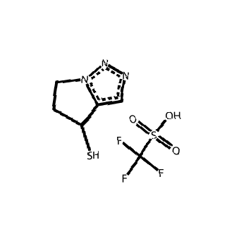 O=S(=O)(O)C(F)(F)F.SC1CCn2nncc21